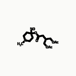 CC(=O)OCC(COC(C)=O)CC(=O)OC1(N=O)CCN(C)CC1